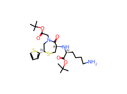 CC(C)(C)OC(=O)CN1C[C@@H](c2cccs2)SC[C@H](N[C@@H](CCCCN)C(=O)OC(C)(C)C)C1=O